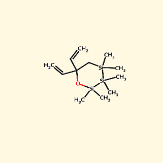 C=CC1(C=C)C[Si](C)(C)[Si](C)(C)[Si](C)(C)O1